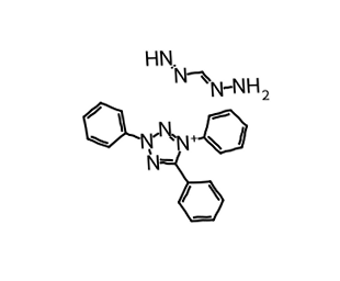 N=N/C=N/N.c1ccc(-c2nn(-c3ccccc3)n[n+]2-c2ccccc2)cc1